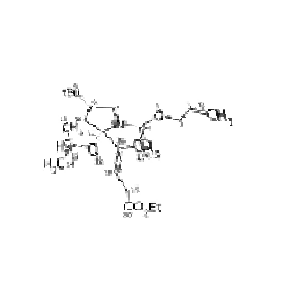 C=CCOC(=O)N1C[C@@H](C(C)(C)C)C[C@]1(O[SiH](C)C)C(C)=CCC(=O)OCC